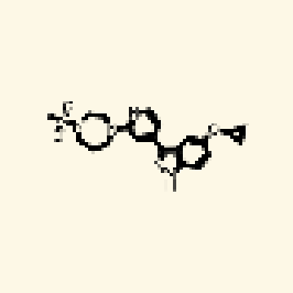 CS(=O)(=O)N1CCCN(c2cc(-c3n[nH]c4ccc(OC5CC5)cc34)ccn2)CC1